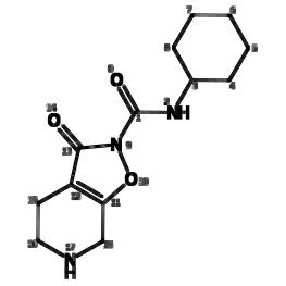 O=C(NC1CCCCC1)n1oc2c(c1=O)CCNC2